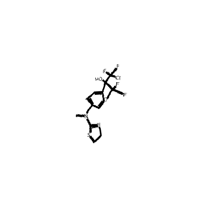 CN(C1=NCCS1)c1ccc(C(O)(C(F)(F)Cl)C(F)(F)Cl)cc1